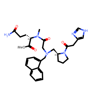 COC(=O)[C@H](CCC(N)=O)N(C)C(=O)CN(Cc1cccc2ccccc12)C[C@@H]1CCCN1C(=O)Cc1c[nH]cn1